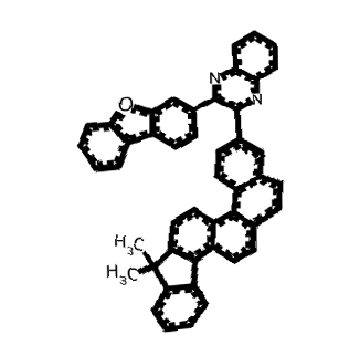 CC1(C)c2ccccc2-c2c1ccc1c2ccc2ccc3cc(-c4nc5ccccc5nc4-c4ccc5c(c4)oc4ccccc45)ccc3c21